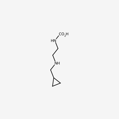 O=C(O)NCCNCC1CC1